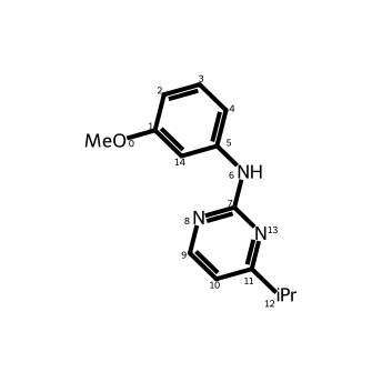 COc1cccc(Nc2nccc(C(C)C)n2)c1